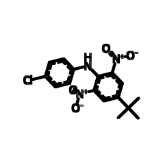 CC(C)(C)c1cc([N+](=O)[O-])c(Nc2ccc(Cl)cc2)c([N+](=O)[O-])c1